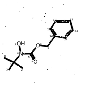 CC(C)(C)N(O)C(=O)OCc1ccccc1